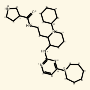 O=C(NCCC1C(Nc2nccc(N3CCCCCC3)n2)CCCN1C1CCCCC1)C1CCNC1